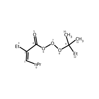 CCCC=C(CC)C(=O)OOOC(C)(C)CC